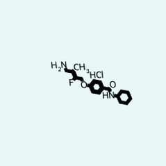 C/C(CN)=C(/F)COc1ccc(C(=O)NC2CCCCC2)cc1.Cl